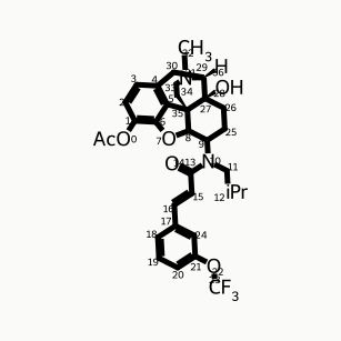 CC(=O)Oc1ccc2c3c1OC1C(N(CC(C)C)C(=O)/C=C/c4cccc(OC(F)(F)F)c4)CC[C@@]4(O)[C@@H](C2)N(C)CC[C@]314